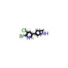 Clc1cc(C2=CC3NCC3C2)cnc1Br